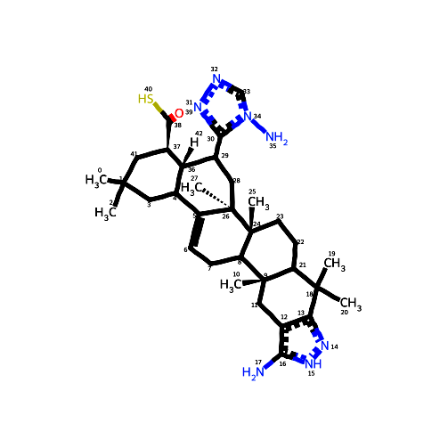 CC1(C)CC2C3=CCC4[C@@]5(C)Cc6c(n[nH]c6N)C(C)(C)C5CC[C@@]4(C)[C@]3(C)CC(c3nncn3N)[C@H]2[C@H](C(=O)S)C1